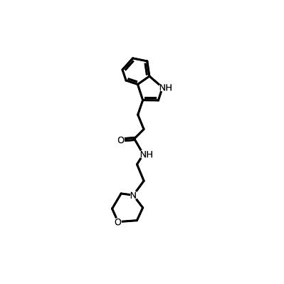 O=C(CCc1c[nH]c2ccccc12)NCCN1CCOCC1